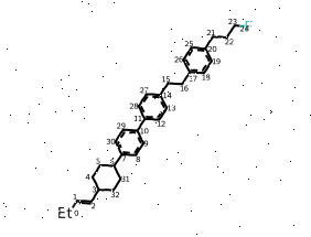 CCC=CC1CCC(c2ccc(-c3ccc(CCc4ccc(CCCF)cc4)cc3)cc2)CC1